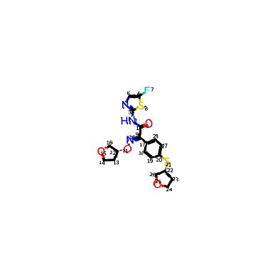 O=C(Nc1ncc(F)s1)/C(=N/O[C@@H]1CCOC1)c1ccc(S[C@@H]2CCOC2)cc1